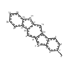 Cc1ccc2c(c1)sc1cc3c(cc12)sc1ccccc13